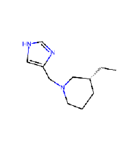 CC[C@@H]1CCCN(Cc2c[nH]cn2)C1